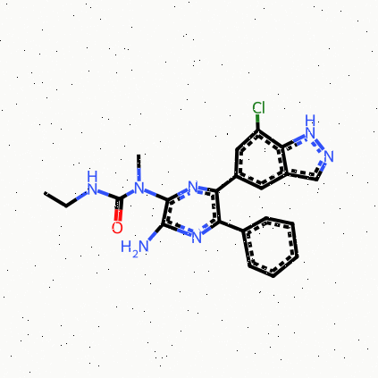 CCNC(=O)N(C)c1nc(-c2cc(Cl)c3[nH]ncc3c2)c(-c2ccccc2)nc1N